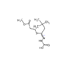 COC(=O)CCS/C(CC(C)(C)C)=N\NC(=O)O